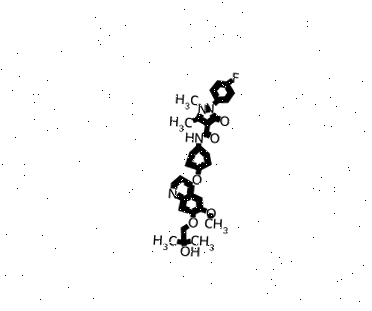 COc1cc2c(Oc3ccc(NC(=O)c4c(C)n(C)n(-c5ccc(F)cc5)c4=O)cc3)ccnc2cc1OCC(C)(C)O